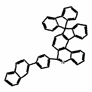 c1ccc2c(c1)-c1ccccc1C21c2ccccc2-c2c1ccc1c(-c3ccc(-c4ccc5ccccc5c4)cc3)nc3ccccc3c21